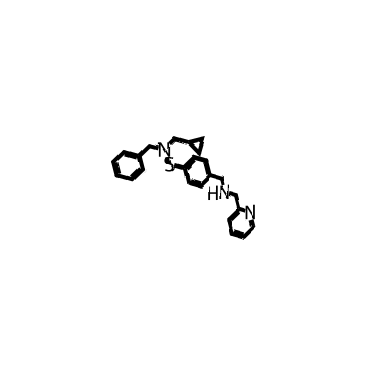 c1ccc(CN(CC2CC2)Sc2ccc(CNCc3ccccn3)cc2)cc1